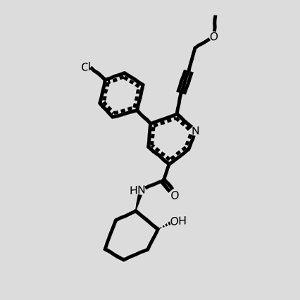 COCC#Cc1ncc(C(=O)N[C@@H]2CCCC[C@H]2O)cc1-c1ccc(Cl)cc1